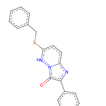 O=c1c(-c2ccccc2)nc2ccc(SCc3ccccc3)[nH]n1-2